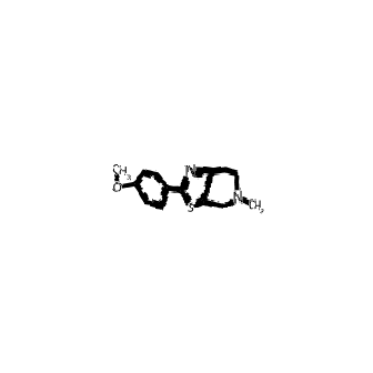 COc1ccc(-c2nc3c(s2)CN(C)CC3)cc1